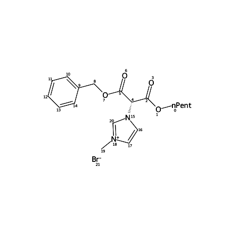 CCCCCOC(=O)[C@@H](C(=O)OCc1ccccc1)n1cc[n+](C)c1.[Br-]